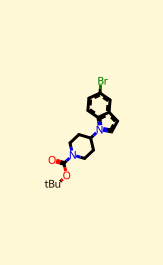 CC(C)(C)OC(=O)N1CCC(n2ccc3cc(Br)ccc32)CC1